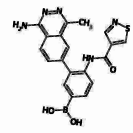 Cc1nnc(N)c2ccc(-c3cc(B(O)O)ccc3NC(=O)c3cnsc3)cc12